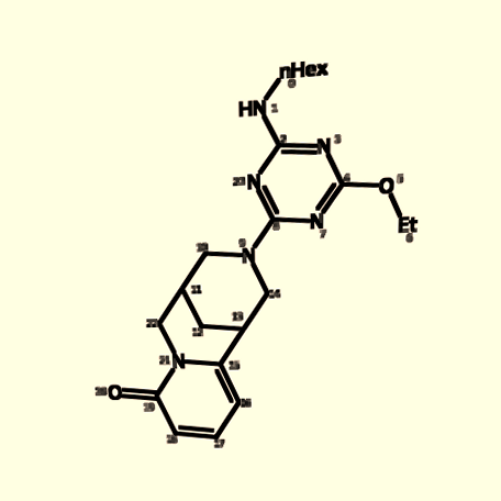 CCCCCCNc1nc(OCC)nc(N2CC3CC(C2)c2cccc(=O)n2C3)n1